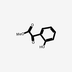 COC(=O)C(=O)c1ccccc1O